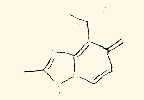 C[C@@H](c1c(=O)ccn2[nH]c(Br)nc12)C(F)(F)F